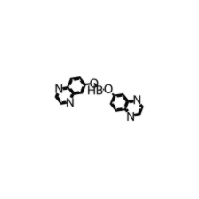 B(Oc1ccc2nccnc2c1)Oc1ccc2nccnc2c1